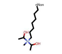 CCCCCCCCCCCCCCCC[N+](C)(C(C)O)C(C)O